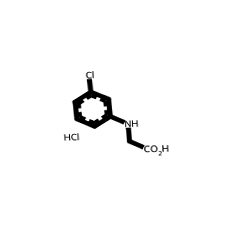 Cl.O=C(O)CNc1cccc(Cl)c1